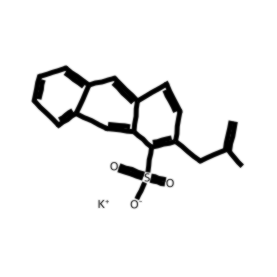 C=C(C)Cc1ccc2cc3ccccc3cc2c1S(=O)(=O)[O-].[K+]